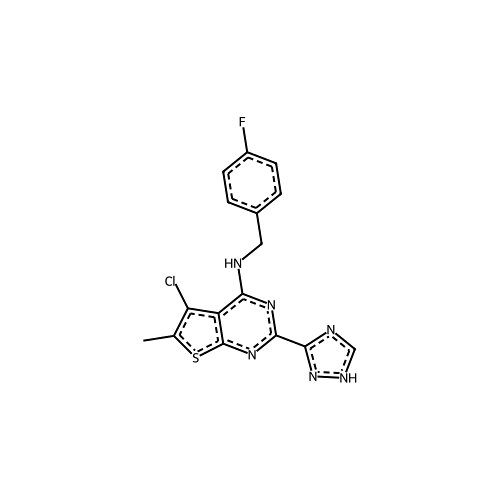 Cc1sc2nc(-c3nc[nH]n3)nc(NCc3ccc(F)cc3)c2c1Cl